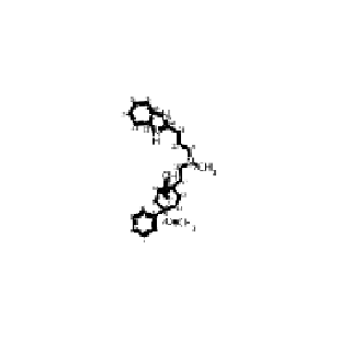 CO[C@]1(c2ccccc2)CC2CCC1CC2(O)CCN(C)CCCc1nc2ccccc2[nH]1